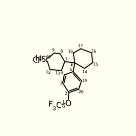 FC(F)(F)Oc1ccc(C2(C3CC[SiH](Cl)CC3)CCCCC2)cc1